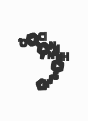 COc1ccc(Cl)c(-c2cc(C)c3nc(Nc4ccc(SCCN5CCCC5)cc4)nnc3c2)c1